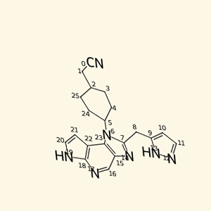 N#CCC1CCC(n2c(Cc3ccn[nH]3)nc3cnc4[nH]ccc4c32)CC1